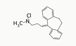 CN(Cl)CCC=C1c2ccccc2CCc2ccccc21